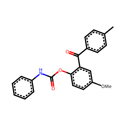 COc1ccc(OC(=O)Nc2ccccc2)c(C(=O)c2ccc(C)cc2)c1